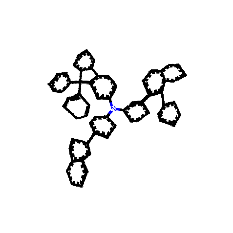 C1=CC(C2(c3ccccc3)c3ccccc3-c3ccc(N(c4ccc(-c5ccc6ccccc6c5)cc4)c4cccc(-c5ccc6ccccc6c5-c5ccccc5)c4)cc32)=CCC1